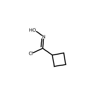 ON=C(Cl)C1CCC1